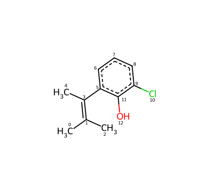 CC(C)=C(C)c1cccc(Cl)c1O